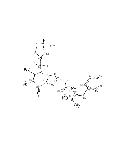 CCC(CC(C)(C)N1CCC(F)(F)C1)C(C#N)C(=O)N1CC[C@H](OC(=O)N[C@@H](Cc2ccccc2)B(O)O)C1